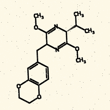 COC1=N[C@H](C(C)C)C(OC)=NC1Cc1ccc2c(c1)OCCO2